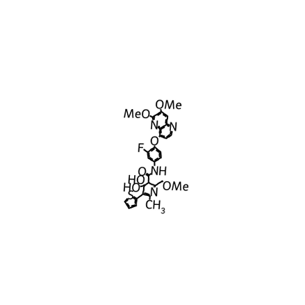 COCC1=NC(C)=C(c2cccs2)C(O)(O)C1C(=O)Nc1ccc(Oc2ccnc3cc(OC)c(OC)nc23)c(F)c1